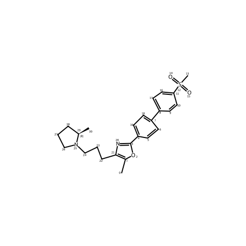 Cc1oc(-c2ccc(-c3ccc(S(C)(=O)=O)cc3)cc2)nc1CCCN1CCC[C@H]1C